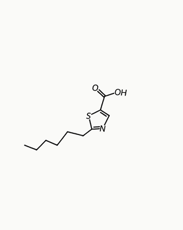 CCCCCCc1ncc(C(=O)O)s1